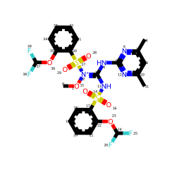 CO[N+](=C(Nc1nc(C)cc(C)n1)NS(=O)(=O)c1ccccc1OC(F)F)S(=O)(=O)c1ccccc1OC(F)F